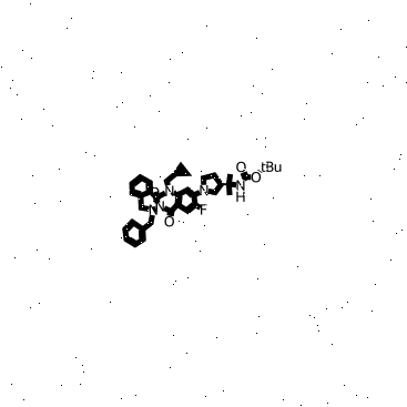 CC(C)(C)OC(=O)NC(C)(C)[C@@H]1CCN(c2cc3c(cc2F)c(=O)n(N(Cc2ccccc2)Cc2ccccc2)c(=O)n3CC2CC2)C1